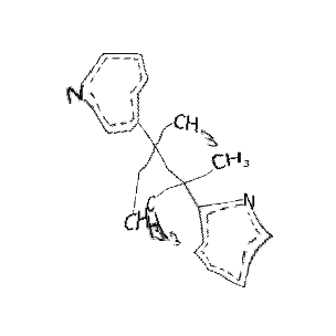 CCC(C)(c1cccnc1)C(C)(C)c1ccccn1